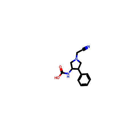 N#CCN1CC(NC(=O)O)C(c2ccccc2)C1